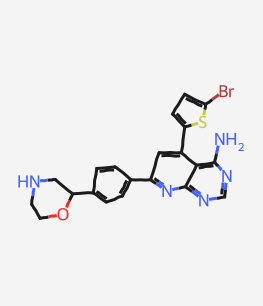 Nc1ncnc2nc(-c3ccc(C4CNCCO4)cc3)cc(-c3ccc(Br)s3)c12